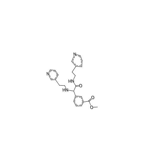 COC(=O)c1cccc(C(NCCc2cccnc2)C(=O)NCCc2cccnc2)c1